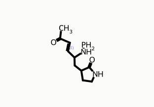 CC(=O)/C=C/C(CC1CCNC1=O)NP